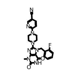 Cn1c(=O)[nH]c(=O)c2c1nc(N1CCN(c3ccc(C#N)cn3)CC1)n2Cc1ccccc1F